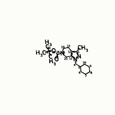 Cc1nn(CC2CCCCC2)c2c1CCN(C(=O)OC(C)(C)C)C2